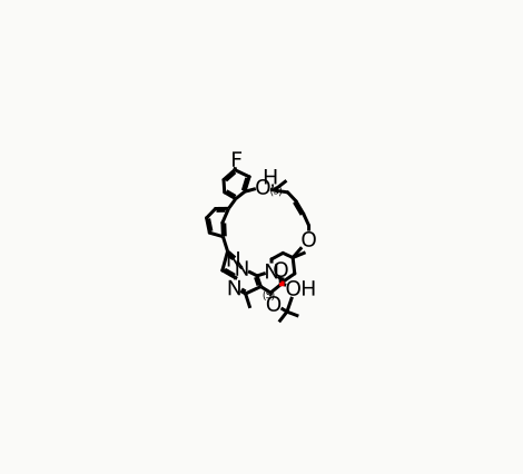 Cc1nc2cc3nn2c(c1[C@H](OC(C)(C)C)C(=O)O)N1CCC(C)(CC1)OCC=CC[C@H](C)Oc1cc(F)ccc1-c1cccc-3c1